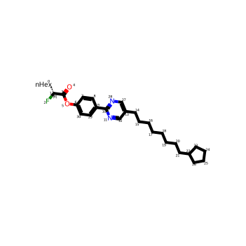 CCCCCC[C@@H](F)C(=O)Oc1ccc(-c2ncc(CCCCCCCCC3CCCC3)cn2)cc1